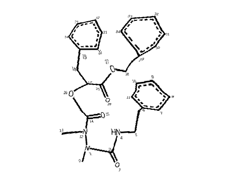 CN(C(=O)NCc1ccccc1)N(C)C(=O)OC(Cc1ccccc1)C(=O)OCc1ccccc1